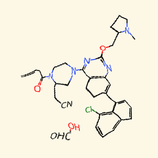 C=CC(=O)N1CCN(c2nc(OCC3CCCN3C)nc3c2CCC(c2cccc4cccc(Cl)c24)=C3)CC1CC#N.O=CO